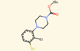 CCc1c(S)cccc1N1CCN(C(=O)OC(C)(C)C)CC1